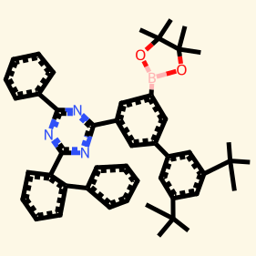 CC(C)(C)c1cc(-c2cc(B3OC(C)(C)C(C)(C)O3)cc(-c3nc(-c4ccccc4)nc(-c4ccccc4-c4ccccc4)n3)c2)cc(C(C)(C)C)c1